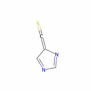 S=C=C1C=NC=N1